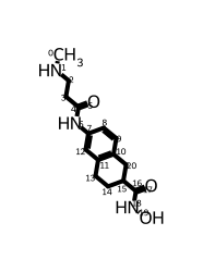 CNCCC(=O)Nc1ccc2c(c1)CCC(C(=O)NO)C2